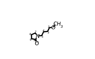 COCCCCN1CCCC1=O